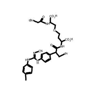 Cc1ccc(NC(=NC#N)Nc2ccc(C(CC(C)C)C(=O)NC(CCOCC(NC(=O)CC(C)(C)C)C(=O)O)C(=O)O)cc2)cc1